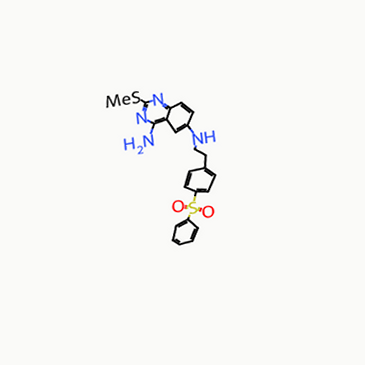 CSc1nc(N)c2cc(NCCc3ccc(S(=O)(=O)c4ccccc4)cc3)ccc2n1